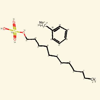 CCCCCCCCCCCCOS(=O)(=O)[O-].Cc1ccccc1.[Na+]